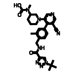 Cc1cc(-c2c(C#N)cncc2N2CCCC(N(C)C(=O)O)C2)ccc1CNC(=O)c1cn(C(C)(C)C)nn1